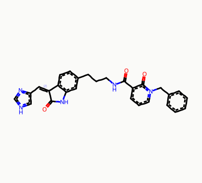 O=C1Nc2cc(CCCNC(=O)c3cccn(Cc4ccccc4)c3=O)ccc2/C1=C/c1c[nH]cn1